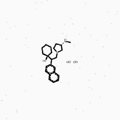 CN[C@H]1CCN(CC(c2ccc3ccccc3c2)C2(O)CCCCC2)C1.Cl.Cl